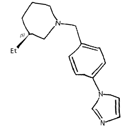 CC[C@H]1CCCN(Cc2ccc(-n3ccnc3)cc2)C1